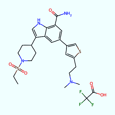 CCS(=O)(=O)N1CCC(c2c[nH]c3c(C(N)=O)cc(-c4csc(CCN(C)C)c4)cc23)CC1.O=C(O)C(F)(F)F